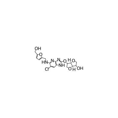 OCc1ccc(CNc2nc3nc(O[C@@H]4CO[C@H]5[C@@H]4OC[C@H]5O)[nH]c3cc2Cl)o1